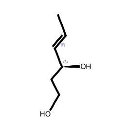 C/C=C/[C@@H](O)CCO